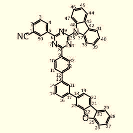 N#Cc1cccc(-c2nc(-c3ccc(-c4cccc(-c5ccc6c(c5)oc5ccccc56)c4)cc3)nc(-n3c4ccccc4c4ccccc43)n2)c1